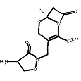 NC1CON(CC2=C(C(=O)O)N3C(=O)C[C@@H]3SC2)C1=O